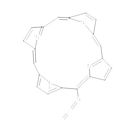 S=C=Nc1c2nc(cc3ccc(cc4nc(cc5ccc1[nH]5)C=C4)[nH]3)C=C2